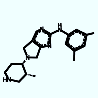 Cc1cc(C)cc(Nc2ncc3c(n2)CN([C@H]2CCNC[C@H]2C)C3)c1